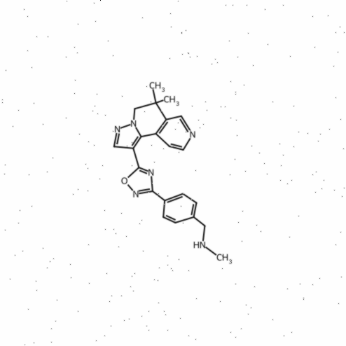 CNCc1ccc(-c2noc(-c3cnn4c3-c3ccncc3C(C)(C)C4)n2)cc1